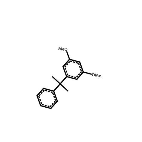 COc1cc(OC)cc(C(C)(C)c2ccccc2)c1